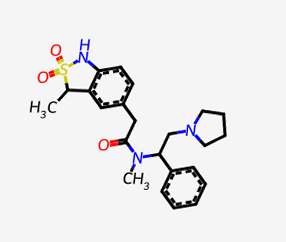 CC1c2cc(CC(=O)N(C)C(CN3CCCC3)c3ccccc3)ccc2NS1(=O)=O